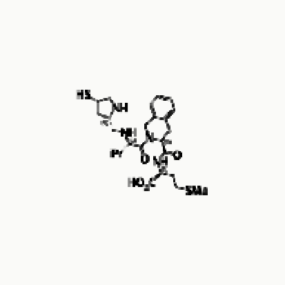 CSCC[C@H](NC(=O)[C@@H]1Cc2ccccc2CN1C(=O)[C@@H](NC[C@@H]1CC(S)CN1)C(C)C)C(=O)O